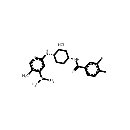 Cc1cnc(N[C@H]2CC[C@@H](NC(=O)c3ccc(F)c(F)c3)CC2)cc1N(C)C.Cl